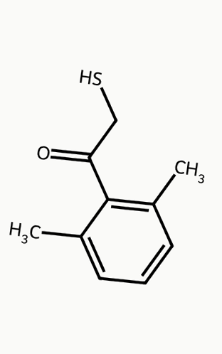 Cc1cccc(C)c1C(=O)CS